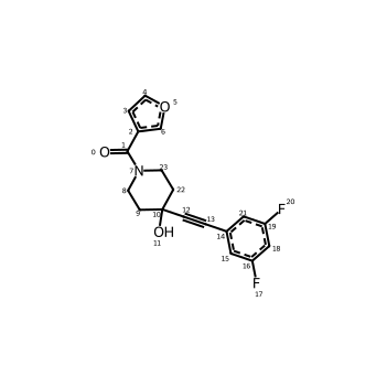 O=C(c1ccoc1)N1CCC(O)(C#Cc2cc(F)cc(F)c2)CC1